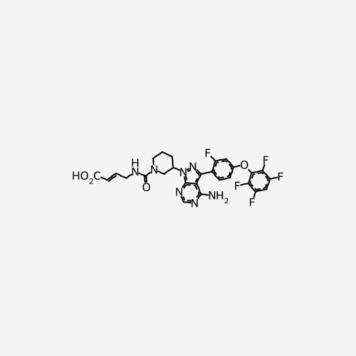 Nc1ncnc2c1c(-c1ccc(Oc3c(F)c(F)cc(F)c3F)cc1F)nn2C1CCCN(C(=O)NCC=CC(=O)O)C1